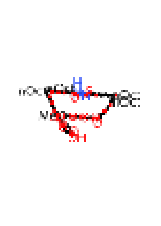 CCCCCCCCC(CCCCCCCCC(=O)NCCNC(=O)CCCCCCCCC(CCCCCCCC)C(CCCCCCCC)CCCCCCCCC(=O)OCCOc1ccc(C(=O)C(C)(C)O)cc1)C(CCCCCCCC)CCCCCCCCC(=O)OCCCOCCCOCCCOC